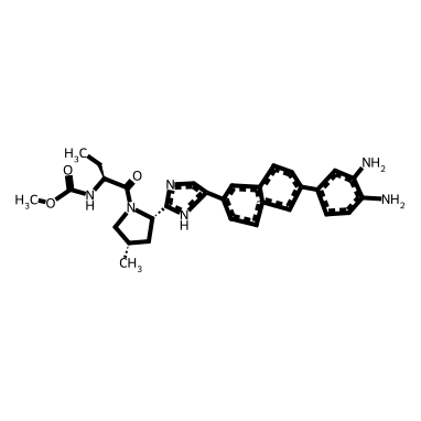 CC[C@H](NC(=O)OC)C(=O)N1C[C@@H](C)C[C@H]1c1ncc(-c2ccc3cc(-c4ccc(N)c(N)c4)ccc3c2)[nH]1